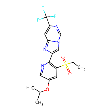 CCS(=O)(=O)c1cc(OC(C)C)cnc1-c1cn2cnc(C(F)(F)F)cc2n1